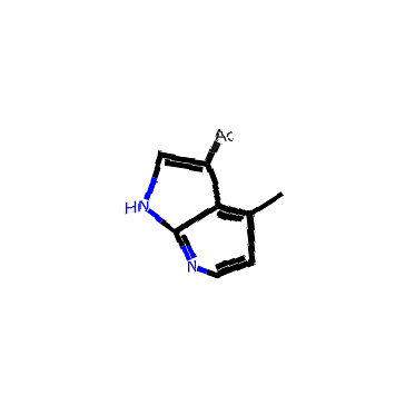 CC(=O)c1c[nH]c2nccc(C)c12